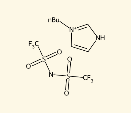 CCCC[n+]1cc[nH]c1.O=S(=O)([N-]S(=O)(=O)C(F)(F)F)C(F)(F)F